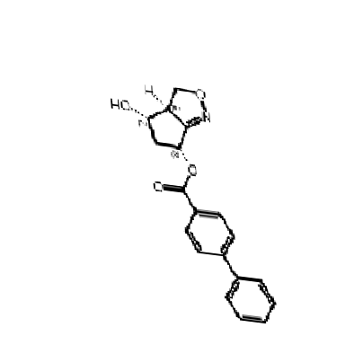 O=C(O[C@@H]1C[C@H](O)[C@H]2CON=C12)c1ccc(-c2ccccc2)cc1